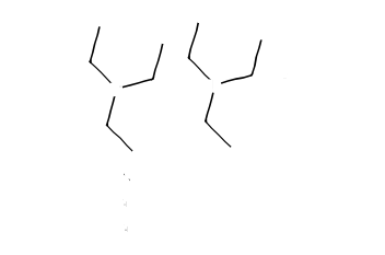 CCP(CC)CC.CCP(CC)CC.[Br-].[Br-].[Br-].[Ni+3]